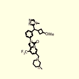 COC1CC(C(c2cccc(-n3cc4c(C(F)(F)F)cc(CN5CCC[C@H](C)C5)cn4c3=O)c2)c2nncn2C)C1